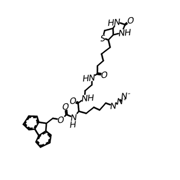 [N-]=[N+]=NCCCCC(NC(=O)OCC1c2ccccc2-c2ccccc21)C(=O)NCCNC(=O)CCCCC1SCC2NC(=O)NC21